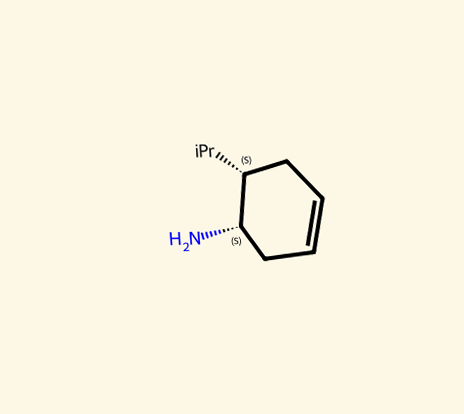 CC(C)[C@@H]1CC=CC[C@@H]1N